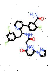 NC(=O)c1cc(-c2cccnc2C(Cc2cc(F)cc(F)c2)NC(=O)Cn2nc(-n3cccn3)ccc2=O)ccc1F